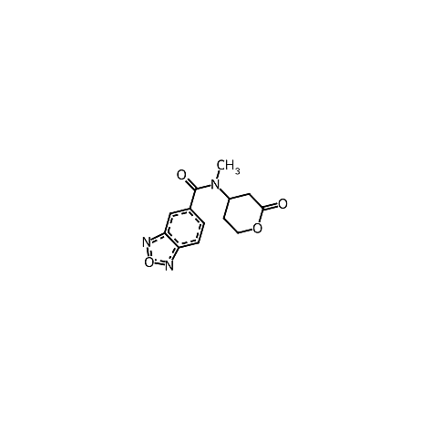 CN(C(=O)c1ccc2nonc2c1)C1CCOC(=O)C1